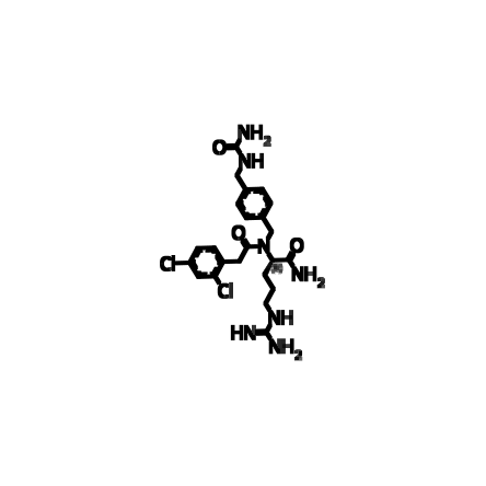 N=C(N)NCCC[C@H](C(N)=O)N(Cc1ccc(CNC(N)=O)cc1)C(=O)Cc1ccc(Cl)cc1Cl